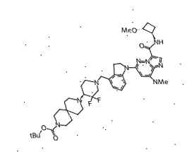 CNc1cc(N2CCc3c(CN4CC[C@H](N5CCC6(CCN(C(=O)OC(C)(C)C)CC6)CC5)C(F)(F)C4)cccc32)nn2c(C(=O)N[C@@H]3CC[C@H]3OC)cnc12